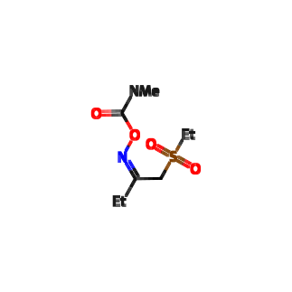 CCC(CS(=O)(=O)CC)=NOC(=O)NC